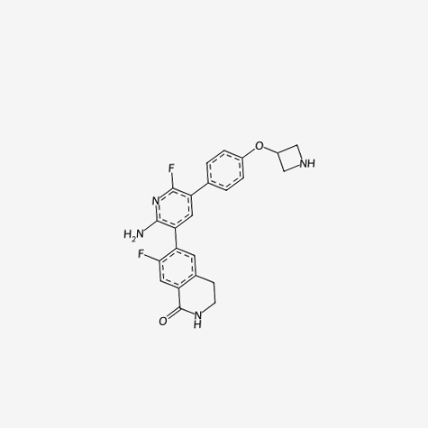 Nc1nc(F)c(-c2ccc(OC3CNC3)cc2)cc1-c1cc2c(cc1F)C(=O)NCC2